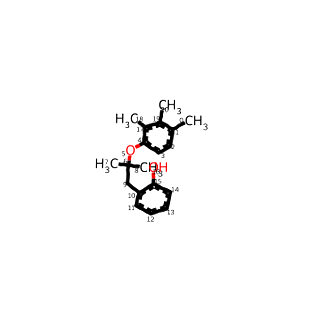 Cc1ccc(OC(C)(C)Cc2ccccc2O)c(C)c1C